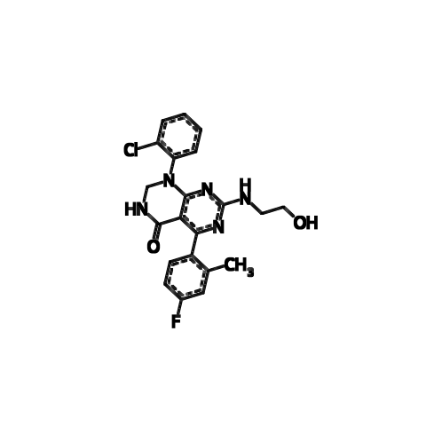 Cc1cc(F)ccc1-c1nc(NCCO)nc2c1C(=O)NCN2c1ccccc1Cl